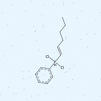 CCCCC=C[PH](Cl)(Cl)c1ccccc1